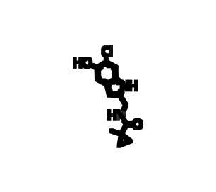 CC1(C(=O)NCc2cc3cc(O)c(Cl)cc3[nH]2)CC1